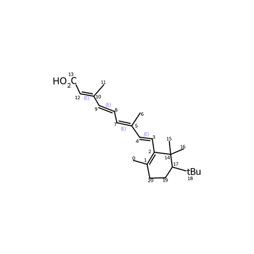 CC1=C(/C=C/C(C)=C/C=C/C(C)=C/C(=O)O)C(C)(C)C(C(C)(C)C)CC1